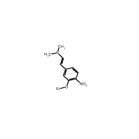 CCOc1cc(/C=C/N(C)C)ccc1[N+](=O)[O-]